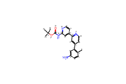 Cc1ccc(N)cc1-c1ccnc(-c2ccnc(NC(=O)OC(C)(C)C)c2)c1